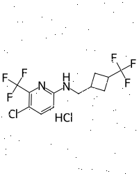 Cl.FC(F)(F)c1nc(NCC2CC(C(F)(F)F)C2)ccc1Cl